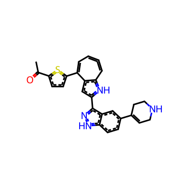 CC(=O)c1ccc(C2=CC=C=Cc3[nH]c(-c4n[nH]c5ccc(C6=CCNCC6)cc45)cc32)s1